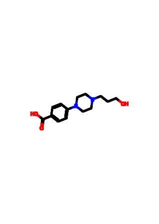 O=C(O)c1ccc(N2CCN(CCCO)CC2)cc1